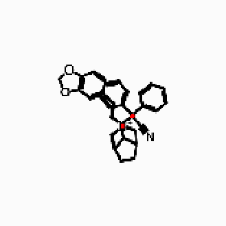 C[N+]1(CCc2ccc3c(c2)OCO3)CC2CCC(C1)C2CC(C#N)(c1ccccc1)c1ccccc1